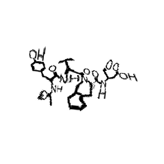 CC(=O)NC(Cc1ccc(O)cc1)C(=O)NC(C(=O)N1Cc2ccccc2C[C@H]1C(=O)NC(C=O)CC(=O)O)C(C)C